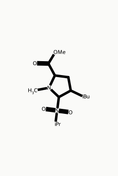 CCC(C)C1CC(C(=O)OC)N(C)C1S(=O)(=O)C(C)C